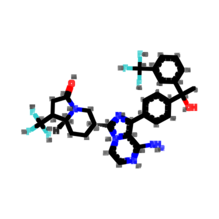 CC(O)(c1ccc(-c2nc([C@@H]3CC[C@@H]4C(C(F)(F)F)CC(=O)N4C3)n3ccnc(N)c23)cc1)c1cccc(C(F)(F)F)c1